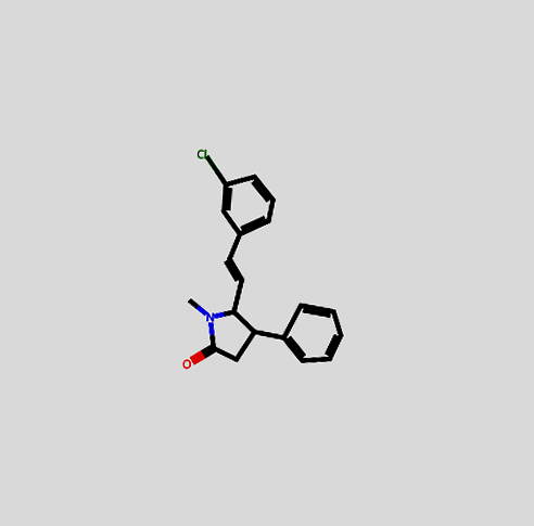 CN1C(=O)CC(c2ccccc2)C1C=Cc1cccc(Cl)c1